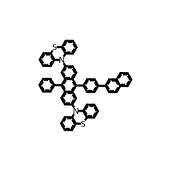 c1ccc(-c2c3ccc(N4c5ccccc5Sc5ccccc54)cc3c(-c3ccc(-c4ccc5ccccc5c4)cc3)c3ccc(N4c5ccccc5Sc5ccccc54)cc23)cc1